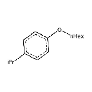 [CH2]C(C)c1ccc(OCCCCCC)cc1